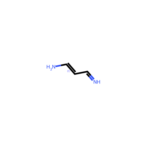 N=C/C=C/N